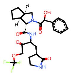 O=C(COC(F)(F)F)C(C[C@@H]1CCNC1=O)NC(=O)[C@@H]1[C@H]2CCC[C@H]2CN1C(=O)C(O)c1ccccc1